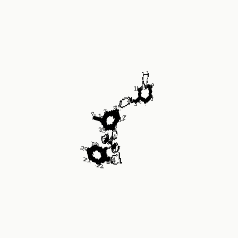 Cc1cc(OCC2CCCNC2)cc(OS(=O)(=O)c2ccccc2Cl)c1